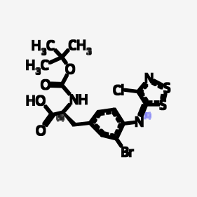 CC(C)(C)OC(=O)N[C@@H](Cc1ccc(/N=c2/ssnc2Cl)c(Br)c1)C(=O)O